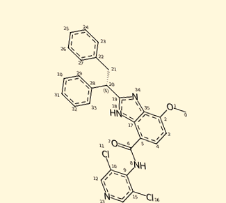 COc1ccc(C(=O)Nc2c(Cl)cncc2Cl)c2[nH]c([C@@H](Cc3ccccc3)c3ccccc3)nc12